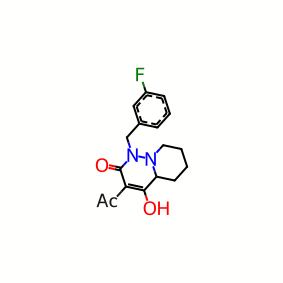 CC(=O)C1=C(O)C2CCCCN2N(Cc2cccc(F)c2)C1=O